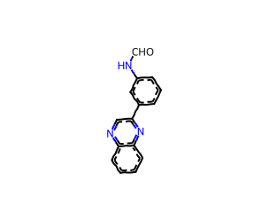 O=CNc1cccc(-c2cnc3ccccc3n2)c1